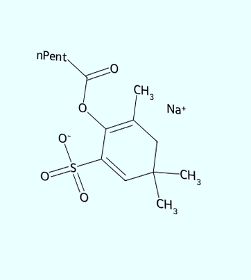 CCCCCC(=O)OC1=C(C)CC(C)(C)C=C1S(=O)(=O)[O-].[Na+]